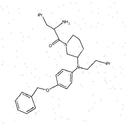 CC(C)CCN(c1ccc(OCc2ccccc2)cc1)C1CCCN(C(=O)C(N)CC(C)C)C1